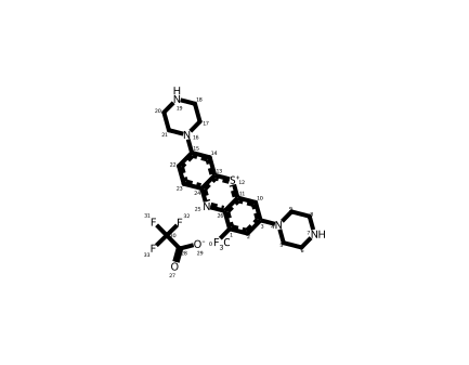 FC(F)(F)c1cc(N2CCNCC2)cc2[s+]c3cc(N4CCNCC4)ccc3nc12.O=C([O-])C(F)(F)F